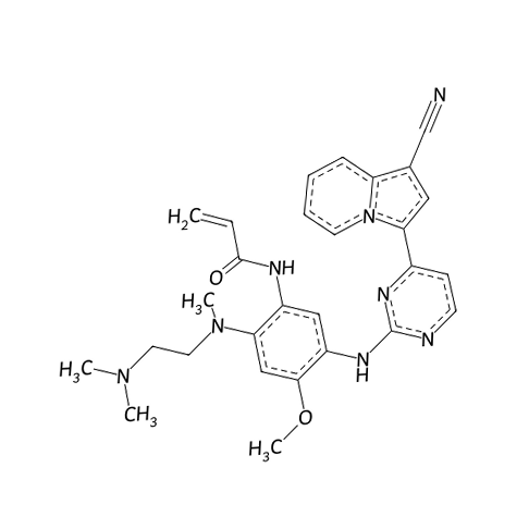 C=CC(=O)Nc1cc(Nc2nccc(-c3cc(C#N)c4ccccn34)n2)c(OC)cc1N(C)CCN(C)C